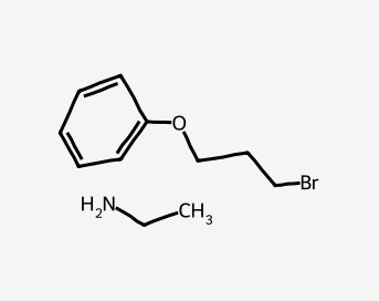 BrCCCOc1ccccc1.CCN